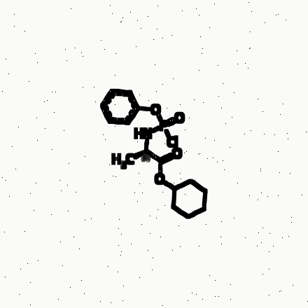 C[C@@H](NP(=O)(Cl)Oc1ccccc1)C(=O)OC1CCCCC1